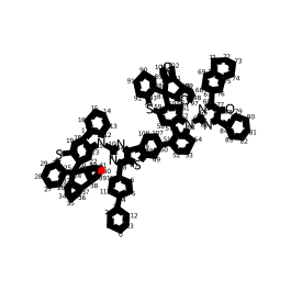 c1ccc(-c2ccc(-c3nc(-n4c5ccccc5c5cc6c(cc54)C4(c5ccccc5S6)c5ccccc5-c5ccccc54)nc4c3sc3cc(-c5cccc6c5c5cc7c(cc5n6-c5nc(-c6ccc8ccccc8c6)c6oc8ccccc8c6n5)C5(c6ccccc6S7)c6ccccc6-c6ccccc65)ccc34)cc2)cc1